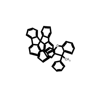 CC1(c2ccccc2)c2ccccc2Oc2cc(-c3cccc4c3C3(c5ccccc5-4)c4ccccc4-c4ccc5ccccc5c43)ccc21